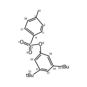 Cc1ccc(S(=O)(=O)Oc2cc(C(C)(C)C)cc(C(C)(C)C)c2)cc1